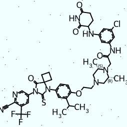 CC(C)c1cc(N2C(=S)N(c3cnc(C#N)c(C(F)(F)F)c3)C(=O)C23CCC3)ccc1OCCN1C[C@@H](C)N(CC(=O)Nc2cc(Cl)cc(NC3CCC(=O)NC3=O)c2)[C@@H](C)C1